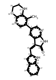 Cc1c(-c2cnc3c(c2)C(=Cc2cc4ccccc4[nH]2)C(=O)N3)cnc2c1NCCO2